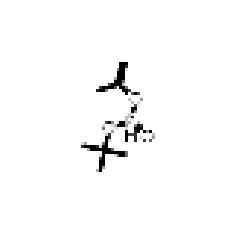 C=C(C)O[PH](=O)OC(C)(C)C